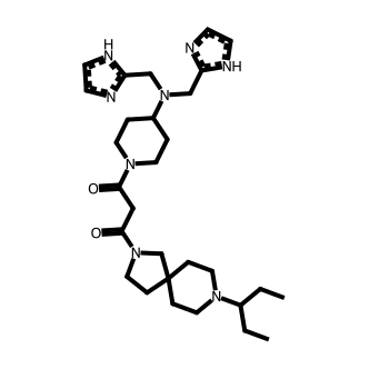 CCC(CC)N1CCC2(CCN(C(=O)CC(=O)N3CCC(N(Cc4ncc[nH]4)Cc4ncc[nH]4)CC3)C2)CC1